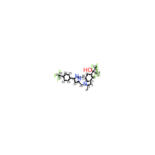 Cc1cc2cc(C(O)(C(F)(F)F)C(F)(F)F)ccc2n1Cc1cc(-c2ccc(C(F)(F)F)cc2)nn1C